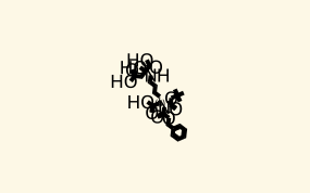 CC(C)(C)OC(=O)N(C(=O)OCc1ccccc1)[C@@H](CCCCNC(O)(CC(=O)O)C(=O)O)C(=O)O